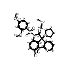 COC(=O)[C@@H]1CCCN1C1(c2cccnc2OC)C(=O)N(S(=O)(=O)c2ccc(OC)cc2OC)c2ccc(Cl)cc21